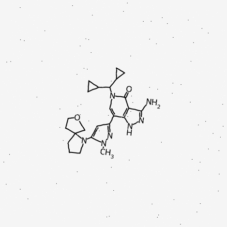 Cn1nc(-c2cn(C(C3CC3)C3CC3)c(=O)c3c(N)n[nH]c23)cc1N1CCCC12CCOC2